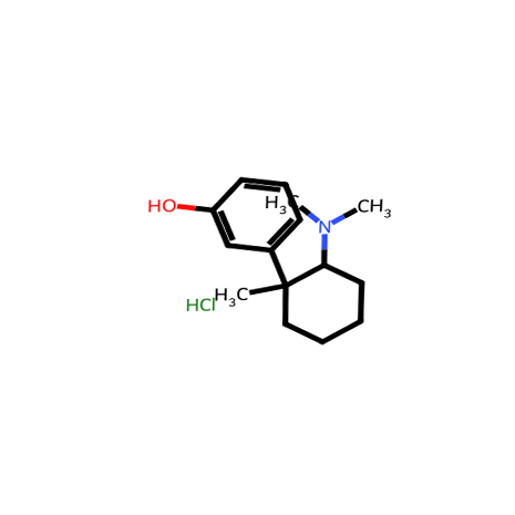 CN(C)C1CCCCC1(C)c1cccc(O)c1.Cl